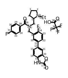 CCN1CCCC1CN(Cc1cc(-c2ccc3[nH]c(=O)oc3c2)ccc1F)C(=O)c1ccc(F)cc1.O=C(O)C(F)(F)F